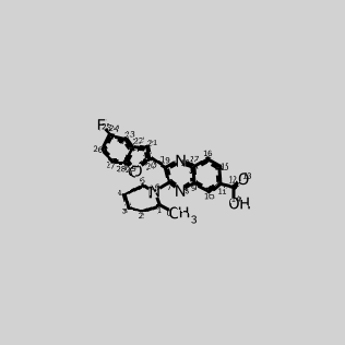 CC1CCCCN1c1nc2cc(C(=O)O)ccc2nc1-c1cc2cc(F)ccc2o1